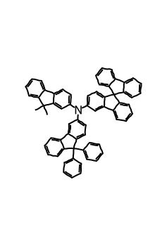 CC1(C)c2ccccc2-c2ccc(N(c3ccc4c(c3)-c3ccccc3C4(c3ccccc3)c3ccccc3)c3ccc4c(c3)-c3ccccc3C43c4ccccc4-c4ccccc43)cc21